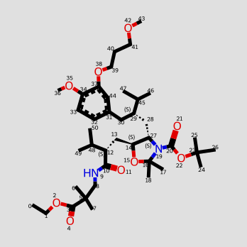 CCOC(=O)C(C)(C)CNC(=O)[C@@H](C[C@@H]1OC(C)(C)N(C(=O)OC(C)(C)C)[C@H]1C[C@H](Cc1ccc(OC)c(OCCCOC)c1)C(C)C)C(C)C